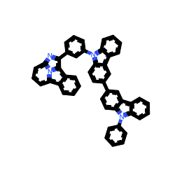 c1ccc(-n2c3ccccc3c3cc(-c4ccc5c(c4)c4ccccc4n5-c4cccc(-c5nc6cccc7c8ccccc8c5n67)c4)ccc32)cc1